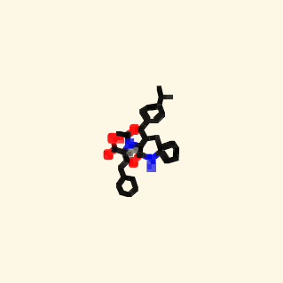 CC(=O)N([C@@H]1C(=O)Nc2ccccc2CC1Cc1ccc(C(C)C)cc1)[C@@H](CCC1CCCCC1)C(=O)O